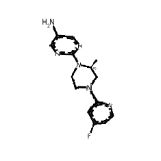 C[C@H]1CN(c2cc(F)ccn2)CCN1c1ncc(N)cn1